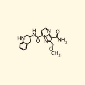 COCc1nn2c(C(=O)NC3CNc4ccccc4C3)ccnc2c1C(N)=O